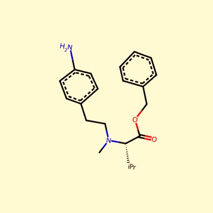 CC(C)[C@@H](C(=O)OCc1ccccc1)N(C)CCc1ccc(N)cc1